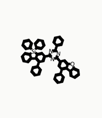 c1ccc(-c2nc(-c3cc(-c4ccccc4)c4c(c3)[Si](c3ccccc3)(c3ccccc3)c3ccccc3-4)nc(-c3cc(-c4ccccc4)c4c(c3)oc3ccccc34)n2)cc1